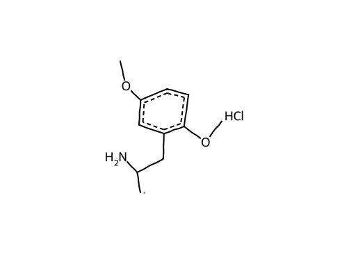 Cl.[CH2]C(N)Cc1cc(OC)ccc1OC